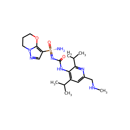 CNCc1cc(C(C)C)c(NC(=O)N=[S@](N)(=O)c2cnn3c2OCCC3)c(C(C)C)n1